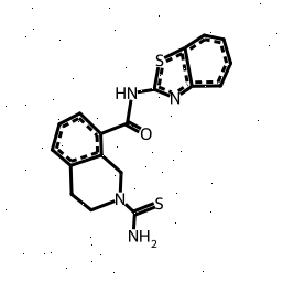 NC(=S)N1CCc2cccc(C(=O)Nc3nc4ccccc4s3)c2C1